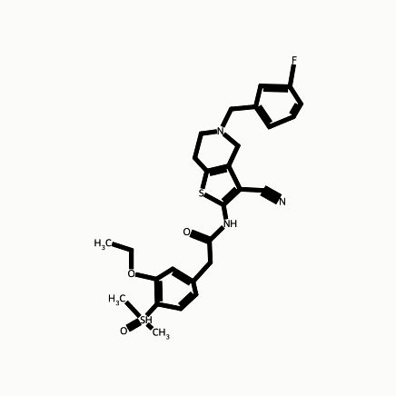 CCOc1cc(CC(=O)Nc2sc3c(c2C#N)CN(Cc2cccc(F)c2)CC3)ccc1[SH](C)(C)=O